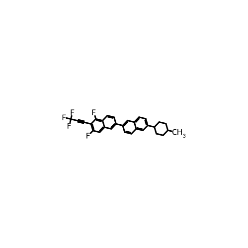 CC1CCC(c2ccc3cc(-c4ccc5c(F)c(C#CC(F)(F)F)c(F)cc5c4)ccc3c2)CC1